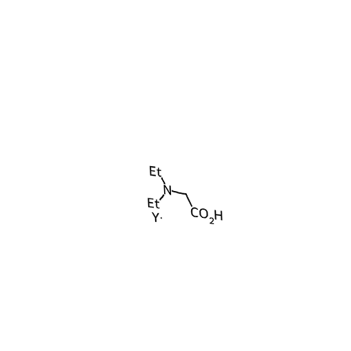 CCN(CC)CC(=O)O.[Y]